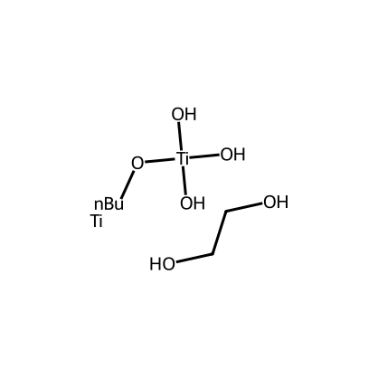 CCCC[O][Ti]([OH])([OH])[OH].OCCO.[Ti]